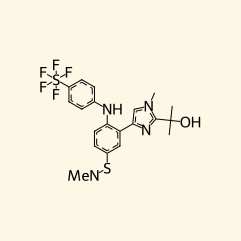 CNSc1ccc(Nc2ccc(S(F)(F)(F)(F)F)cc2)c(-c2cn(C)c(C(C)(C)O)n2)c1